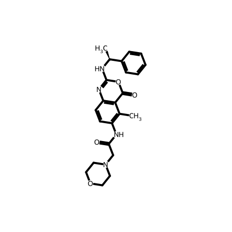 Cc1c(NC(=O)CN2CCOCC2)ccc2nc(N[C@@H](C)c3ccccc3)oc(=O)c12